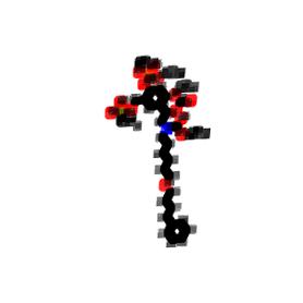 CC(C)(C)OC(=O)OC(CN(CCCCCCOCCCCc1ccccc1)C(=O)OC(C)(C)C)c1ccc(OP(=O)(OC(C)(C)C)OC(C)(C)C)c(COS(C)(=O)=O)c1